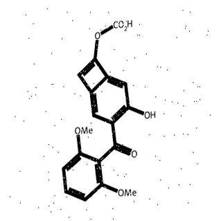 COc1cccc(OC)c1C(=O)c1cc2c(cc1O)C(OC(=O)O)=C2